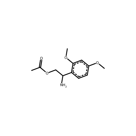 COc1ccc(C(N)COC(C)=O)c(OC)c1